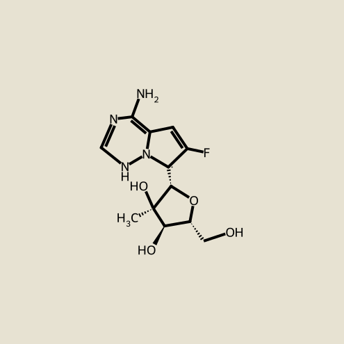 C[C@@]1(O)[C@H](O)[C@@H](CO)O[C@H]1[C]1C(F)=CC2=C(N)N=CNN12